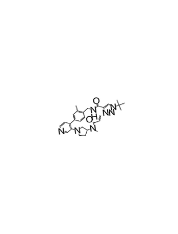 C=CC(=O)N(C)C1CCN(c2cnccc2-c2ccc(CNC(=O)c3cn(C(C)(C)C)nn3)c(C)c2)C1